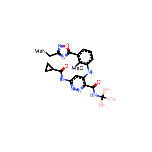 BC(B)(B)NC(=O)c1nnc(NC(=O)C2CC2)cc1Nc1cccc(-c2nc(CNC)no2)c1OC